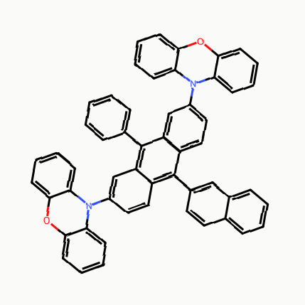 c1ccc(-c2c3cc(N4c5ccccc5Oc5ccccc54)ccc3c(-c3ccc4ccccc4c3)c3ccc(N4c5ccccc5Oc5ccccc54)cc23)cc1